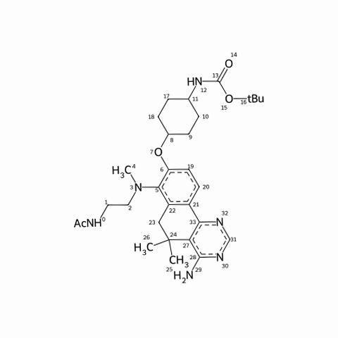 CC(=O)NCCN(C)c1c(OC2CCC(NC(=O)OC(C)(C)C)CC2)ccc2c1CC(C)(C)c1c(N)ncnc1-2